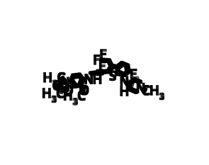 COc1cc(N(C)S(C)(=O)=O)ccc1NCC#Cc1sc2c(N[C@@H]3CCN(C)C[C@@H]3F)cccc2c1CC(F)(F)F